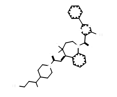 Cc1nc(-c2ccccc2)sc1C(=O)N1CCC(F)(F)/C(=C\C(=O)N2CCC(C(O)CCO)CC2)c2ccccc21